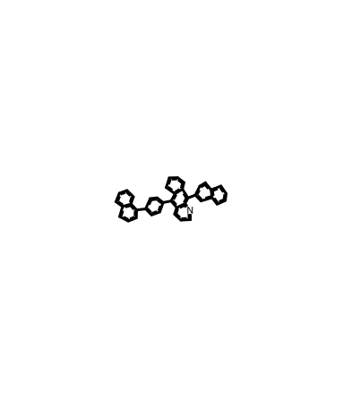 c1ccc2cc(-c3c4ccccc4c(-c4ccc(-c5cccc6ccccc56)cc4)c4cccnc34)ccc2c1